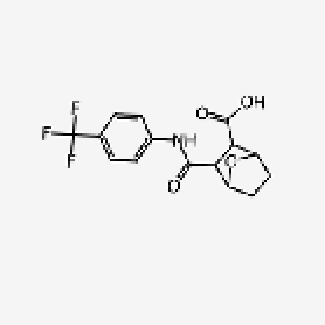 O=C(O)C1C2CCC(O2)C1C(=O)Nc1ccc(C(F)(F)F)cc1